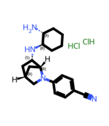 Cl.Cl.N#Cc1ccc(N2C[C@@H]3C[C@H](N[C@@H]4CCCC[C@H]4N)[C@H]2C3)cc1